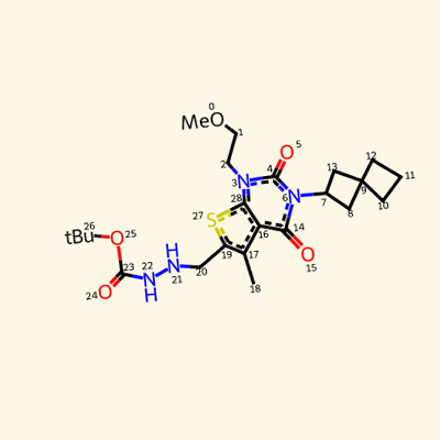 COCCn1c(=O)n(C2CC3(CCC3)C2)c(=O)c2c(C)c(CNNC(=O)OC(C)(C)C)sc21